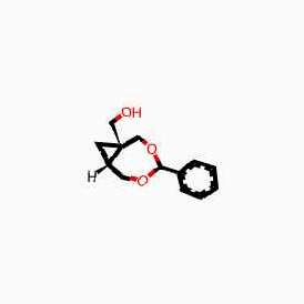 OC[C@@]12COC(c3ccccc3)OC[C@@H]1C2